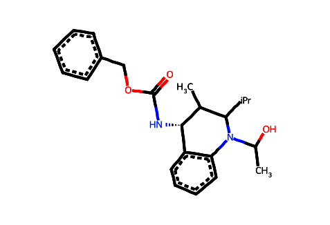 CC(C)C1C(C)[C@@H](NC(=O)OCc2ccccc2)c2ccccc2N1C(C)O